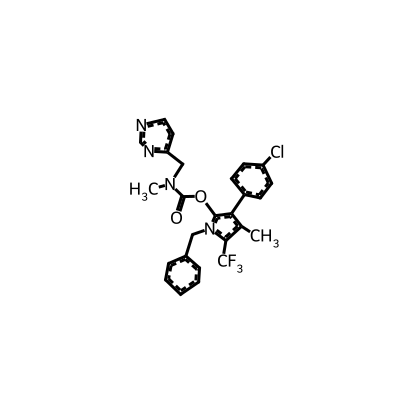 Cc1c(-c2ccc(Cl)cc2)c(OC(=O)N(C)Cc2ccncn2)n(Cc2ccccc2)c1C(F)(F)F